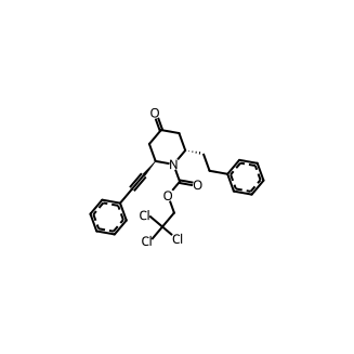 O=C1C[C@H](CCc2ccccc2)N(C(=O)OCC(Cl)(Cl)Cl)[C@@H](C#Cc2ccccc2)C1